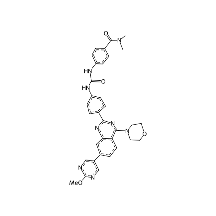 COc1ncc(-c2ccc3c(N4CCOCC4)nc(-c4ccc(NC(=O)Nc5ccc(C(=O)N(C)C)cc5)cc4)nc3c2)cn1